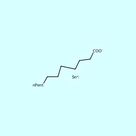 CCCCCCCCCCCC(=O)[O-].[Sn+]